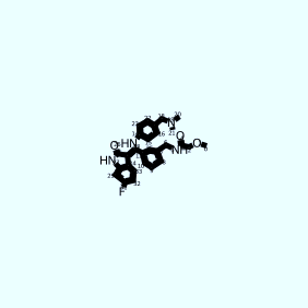 COCC(=O)NCc1cccc(/C(Nc2ccc(CN(C)C)cc2)=C2/C(=O)Nc3cc(F)ccc32)c1